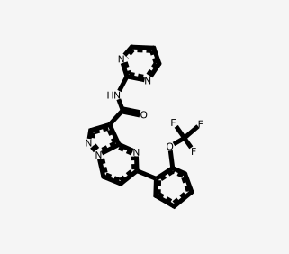 O=C(Nc1ncccn1)c1cnn2ccc(-c3ccccc3OC(F)(F)F)nc12